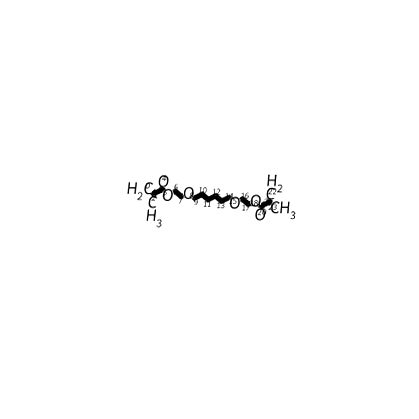 C=C(C)C(=O)OCCOCCCCCCOCCOC(=O)C(=C)C